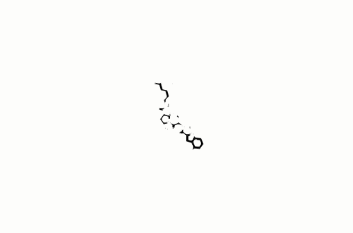 C/C(Cl)=C\C=C/CNC(=O)[C@H]1C[C@@H](C#N)N(C(=O)[C@H](CC(C)C)NC(=O)c2cc3c(F)cccc3[nH]2)C1